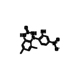 Cc1cc(C)c(N(NS(=O)O)c2ccc([N+](=O)[O-])cc2S)c(C)c1